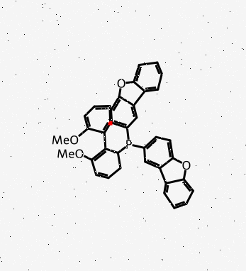 COC1=C(c2ccccc2OC)[C](P(c2ccc3oc4ccccc4c3c2)c2ccc3oc4ccccc4c3c2)CC=C1